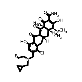 CN(C)[C@@H]1C(O)=C(C(N)=O)C(=O)[C@@]2(O)C(O)=C3C(=O)c4c(O)cc(CN(CCF)CC5CC5)c(Cl)c4C[C@H]3C[C@@H]12